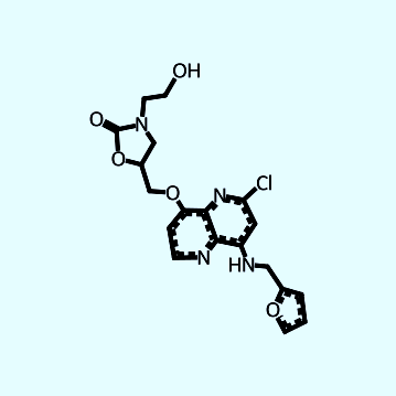 O=C1OC(COc2ccnc3c(NCc4ccco4)cc(Cl)nc23)CN1CCO